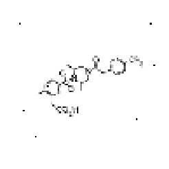 Cc1ccc(S(=O)(=O)N2C(C)CN(C(=O)Cc3ccc(C(F)(F)F)cc3)C[C@@H]2C)cc1CC(=O)O